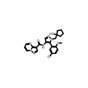 COc1ccc(Cl)cc1-c1c(NC(=O)c2cnn3cccnc23)cnn1CC1(O)CCCC1